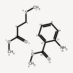 COC(=O)CCSC.COC(=O)c1ccccc1N